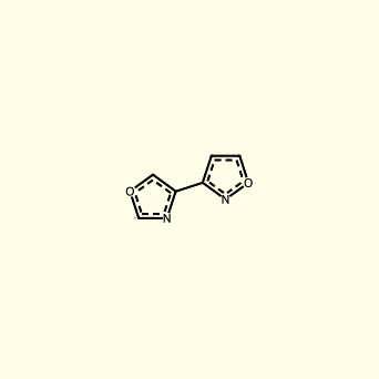 [c]1nc(-c2ccon2)co1